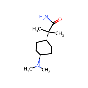 CN(C)[C@H]1CC[C@H](C(C)(C)C(N)=O)CC1